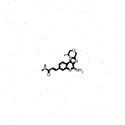 C[C@H]1COCc2nc3c(N)nc4cc(C=CC(=O)N(C)C)ccc4c3n21